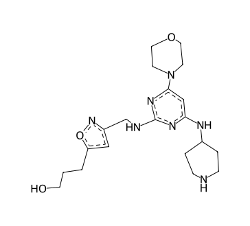 OCCCc1cc(CNc2nc(NC3CCNCC3)cc(N3CCOCC3)n2)no1